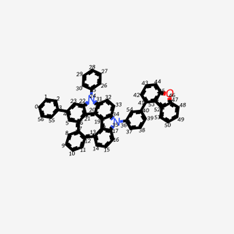 c1ccc(-c2cc3c4ccccc4c4cccc5c4c4c6c3c(c2)n(-c2ccccc2)c6ccc4n5-c2cccc(-c3cccc4oc5ccccc5c34)c2)cc1